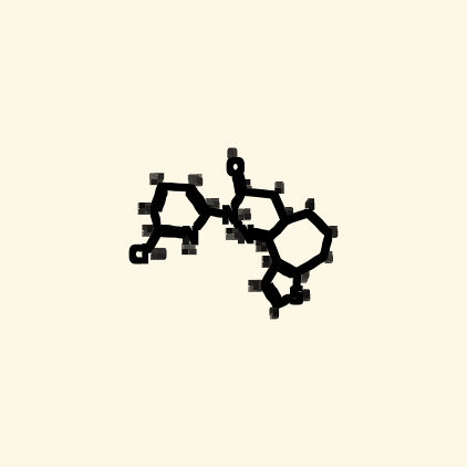 O=C1CC2CCCc3sccc3C2=NN1c1cccc(Cl)n1